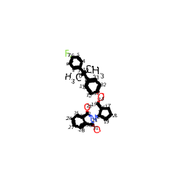 CC(C)(c1ccc(F)cc1)c1ccc(OCC2CCCC2N2C(=O)c3ccccc3C2=O)cc1